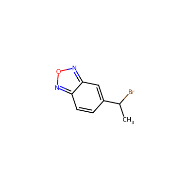 CC(Br)c1ccc2nonc2c1